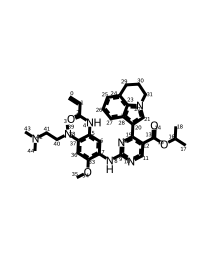 C=CC(=O)Nc1cc(Nc2ncc(C(=O)OC(C)C)c(-c3cn4c5c(cccc35)CCC4)n2)c(OC)cc1N(C)CCN(C)C